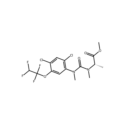 COC(=O)[C@H](C)N(C)C(=O)N(C)c1cc(OC(F)(F)C(F)F)c(Cl)cc1Cl